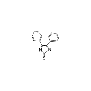 S=C1N=C(c2ccccc2)C(c2ccccc2)=N1